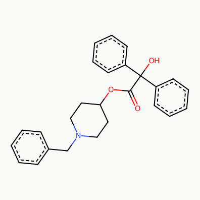 O=C(OC1CCN(Cc2ccccc2)CC1)C(O)(c1ccccc1)c1ccccc1